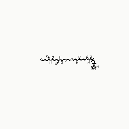 CC(C)(CC(C)(C)c1nnn[nH]1)C(=O)N[S+]([O-])CCCC(=O)NCCOCCOCC(=O)NC(C=O)CCC(=O)NC(C=O)CCC=O